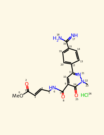 COC(=O)C=CCNC(=O)c1cc(-c2ccc(C(=N)N)cc2)nn(C)c1=O.Cl